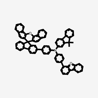 CC1(C)c2ccccc2-c2ccc(N(c3ccc(-c4ccc5c(c4)C4(c6ccccc6-5)c5ccc6ccccc6c5Oc5c4ccc4ccccc54)cc3)c3ccc(-c4cccc5c4oc4ccccc45)cc3)cc21